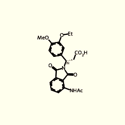 CCOc1cc([C@H](CC(=O)O)N2C(=O)c3cccc(NC(C)=O)c3C2=O)ccc1OC